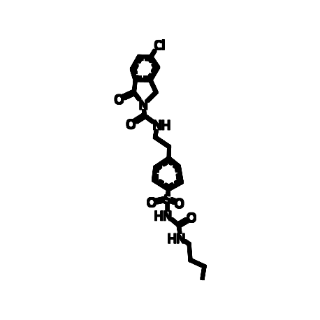 CCCCNC(=O)NS(=O)(=O)c1ccc(CCNC(=O)N2Cc3cc(Cl)ccc3C2=O)cc1